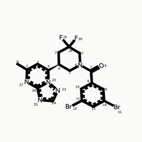 Cc1cc([C@@H]2CN(C(=O)c3cc(Br)cc(Br)c3)CC(F)(F)C2)n2ncnc2n1